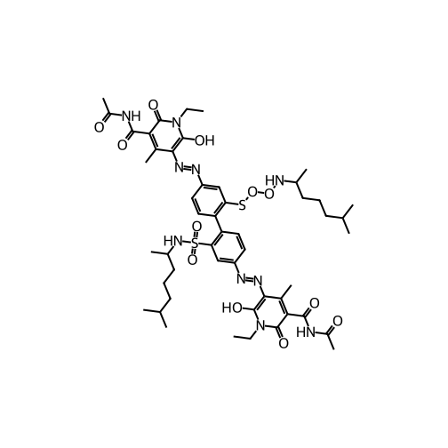 CCn1c(O)c(N=Nc2ccc(-c3ccc(N=Nc4c(C)c(C(=O)NC(C)=O)c(=O)n(CC)c4O)cc3S(=O)(=O)NC(C)CCCC(C)C)c(SOONC(C)CCCC(C)C)c2)c(C)c(C(=O)NC(C)=O)c1=O